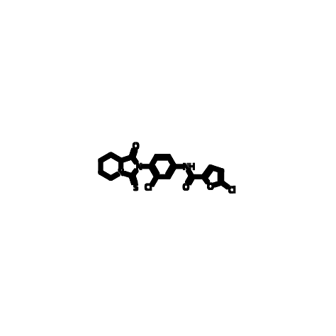 O=C(Nc1ccc(N2C(=O)C3CCCCN3C2=S)c(Cl)c1)c1ccc(Cl)o1